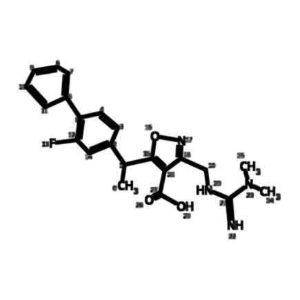 CC(c1ccc(-c2ccccc2)c(F)c1)c1onc(CNC(=N)N(C)C)c1C(=O)O